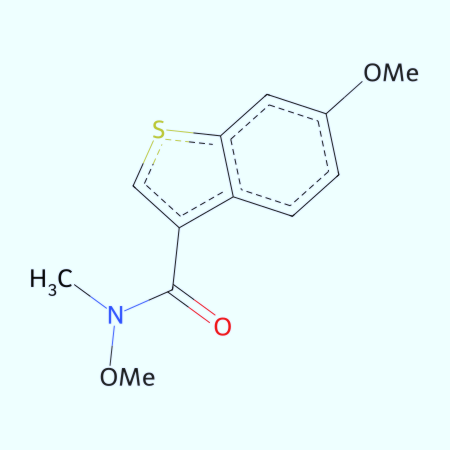 COc1ccc2c(C(=O)N(C)OC)csc2c1